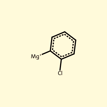 [Mg+][c]1ccccc1Cl